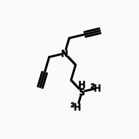 [2H][SH]([2H])CCN(CC#C)CC#C